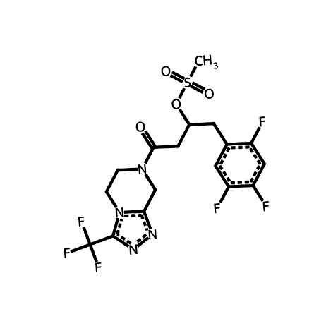 CS(=O)(=O)OC(CC(=O)N1CCn2c(nnc2C(F)(F)F)C1)Cc1cc(F)c(F)cc1F